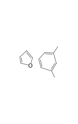 Cc1cccc(C)c1.c1ccoc1